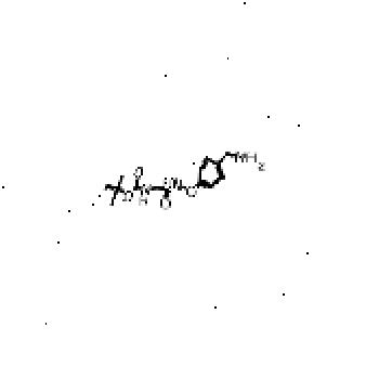 CC(C)(C)OC(=O)NCC(=O)NOc1ccc(CN)cc1